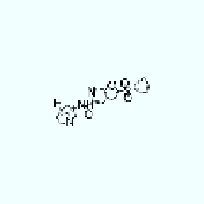 O=C(N[C@@H]1C[C@@H]2CCN(C2)C1)c1cc2cc(S(=O)(=O)c3ccccc3)oc2cn1